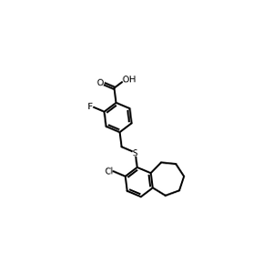 O=C(O)c1ccc(CSc2c(Cl)ccc3c2CCCCC3)cc1F